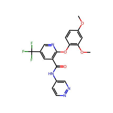 COc1ccc(Oc2ncc(C(F)(F)F)cc2C(=O)Nc2ccnnc2)c(OC)c1